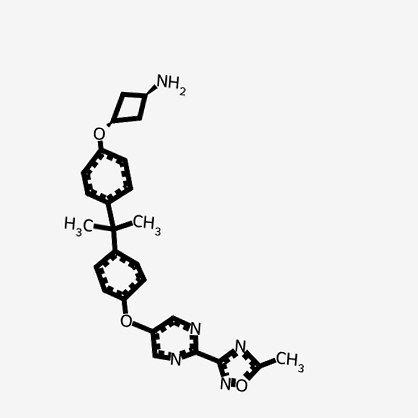 Cc1nc(-c2ncc(Oc3ccc(C(C)(C)c4ccc(O[C@H]5C[C@H](N)C5)cc4)cc3)cn2)no1